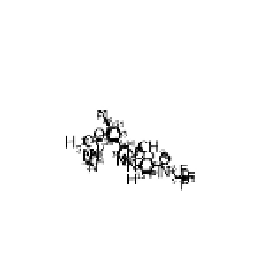 COc1cc(C(=O)NCCC(F)(F)F)ccc1Nc1ncc(-c2ccc(C#N)c(O[C@@H](C)Cn3cncn3)c2)cn1